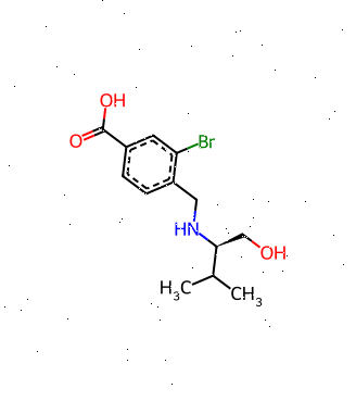 CC(C)[C@H](CO)NCc1ccc(C(=O)O)cc1Br